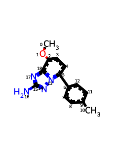 COc1ccc(-c2ccc(C)cc2)n2nc(N)nc12